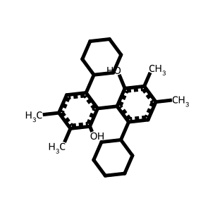 Cc1cc(C2CCCCC2)c(-c2c(C3CCCCC3)cc(C)c(C)c2O)c(O)c1C